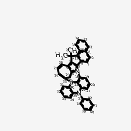 CC1(C)c2c3c4n(c2-c2ccc5ccccc5c21)-c1cccc2c1B(C(=CC=C3)C4)c1ccccc1N2c1ccccc1